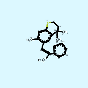 Cc1cc2c(cc1C=C(C(=O)O)c1ccccc1)C(C)(C)CCS2